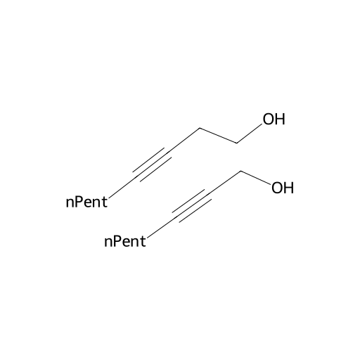 CCCCCC#CCCO.CCCCCC#CCO